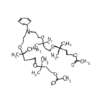 CC(=O)OCCC(C)(C)OCCC(C)(C)OCCN(CCOC(C)(C)CCOC(C)(C)CCOC(C)=O)c1ccccc1